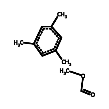 COC=O.Cc1cc(C)cc(C)c1